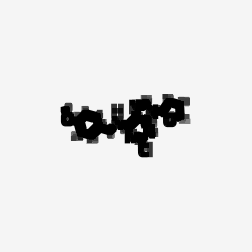 COc1ccc(CNc2nc(Cl)nc3c2ncn3C2CCCO2)cc1